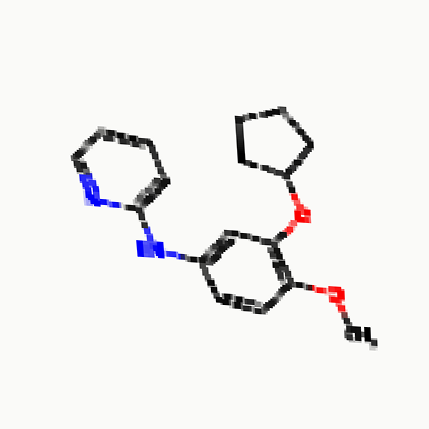 COc1ccc(Nc2ccccn2)cc1OC1CCCC1